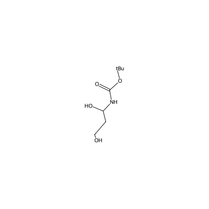 CC(C)(C)OC(=O)NC(O)CCO